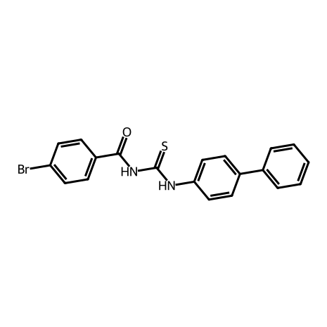 O=C(NC(=S)Nc1ccc(-c2ccccc2)cc1)c1ccc(Br)cc1